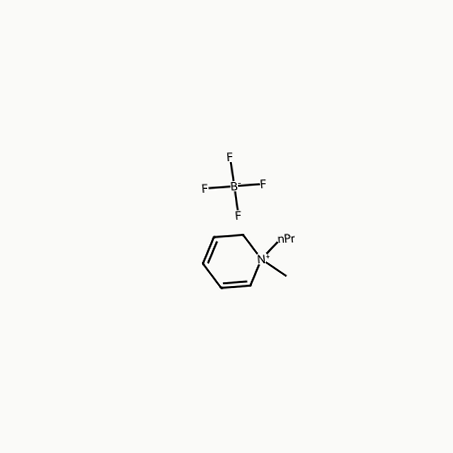 CCC[N+]1(C)C=CC=CC1.F[B-](F)(F)F